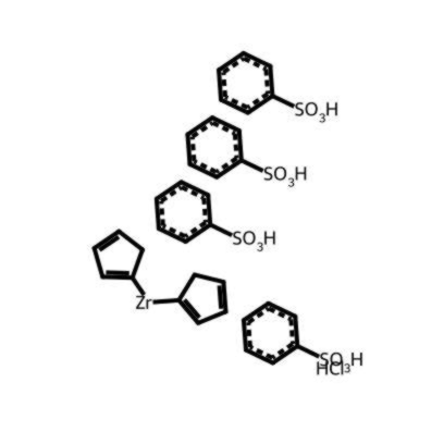 C1=CC[C]([Zr][C]2=CC=CC2)=C1.Cl.O=S(=O)(O)c1ccccc1.O=S(=O)(O)c1ccccc1.O=S(=O)(O)c1ccccc1.O=S(=O)(O)c1ccccc1